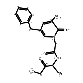 CC(C)C(NC(=O)Cn1cc(Cc2ccccc2)cc(N)c1=O)C(=O)CC(F)(F)F